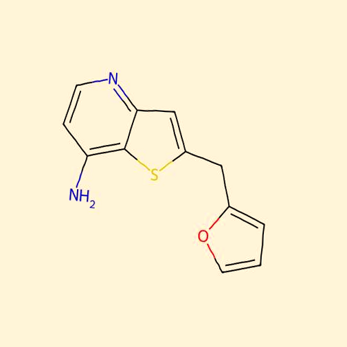 Nc1ccnc2cc(Cc3ccco3)sc12